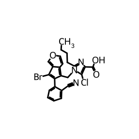 CCCCc1nc(C(=O)O)c(Cl)n1Cc1c2ccocc-2c(Br)c1-c1ccccc1C#N